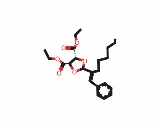 CCCCCC/C(=C\c1ccccc1)C1O[C@@H](C(=O)OCC)[C@H](C(=O)OCC)O1